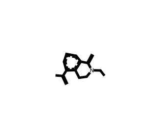 C=C(C)c1cccc2c1CCN(CC)C2=C